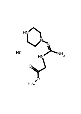 COC(=O)CNC(N)=NN1CCNCC1.Cl